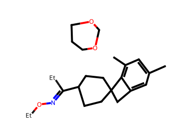 C1COCOC1.CCON=C(CC)C1CCC2(CC1)Cc1cc(C)cc(C)c12